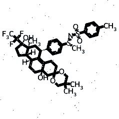 Cc1ccc(S(=O)(=O)N=S(C)c2ccc([C@H]3C[C@@]4(C)[C@@H](CC[C@@]4(O)C(F)(F)C(F)(F)F)[C@@H]4CC[C@@]5(O)CC6(CCC5=C43)OCC(C)(C)CO6)cc2)cc1